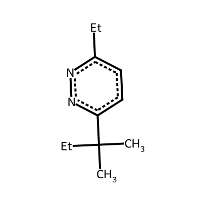 CCc1ccc(C(C)(C)CC)nn1